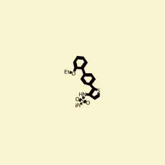 CCOc1ccccc1-c1ccc(-c2sccc2NS(=O)(=O)C(C)C)cc1